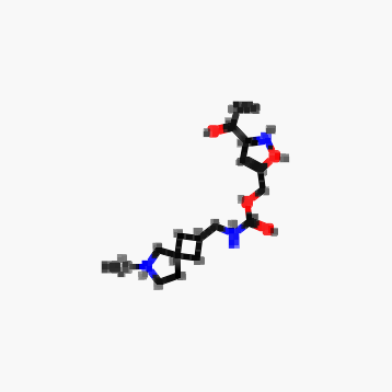 CNC(=O)c1cc(COC(=O)NCC2CC3(CCN(C(=O)O)C3)C2)on1